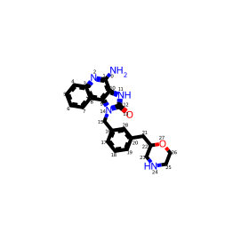 Nc1nc2ccccc2c2c1[nH]c(=O)n2Cc1cccc(CC2CNCCO2)c1